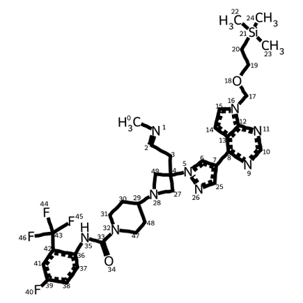 C/N=C/CC1(n2cc(-c3ncnc4c3ccn4COCC[Si](C)(C)C)cn2)CN(C2CCN(C(=O)Nc3ccc(F)cc3C(F)(F)F)CC2)C1